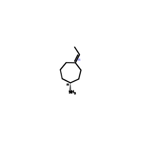 C/C=C1\CCC[C@@H](N)CC1